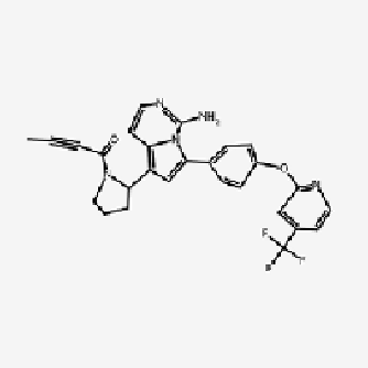 CC#CC(=O)N1CCCC1c1cc(-c2ccc(Oc3cc(C(F)(F)F)ccn3)cc2)n2c(N)nccc12